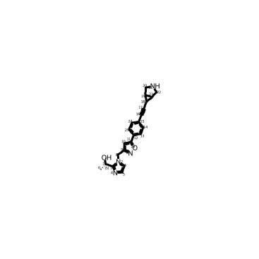 C[C@H](O)c1nccn1Cc1cc(-c2ccc(C#CC3C4CNCC34)cc2)on1